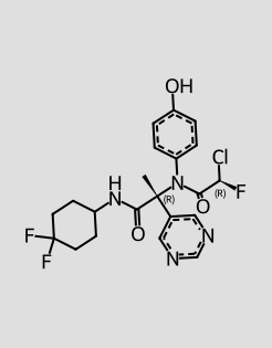 C[C@](C(=O)NC1CCC(F)(F)CC1)(c1cncnc1)N(C(=O)[C@H](F)Cl)c1ccc(O)cc1